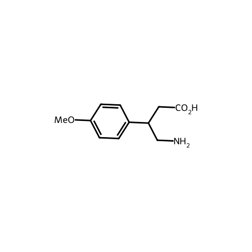 COc1ccc(C(CN)CC(=O)O)cc1